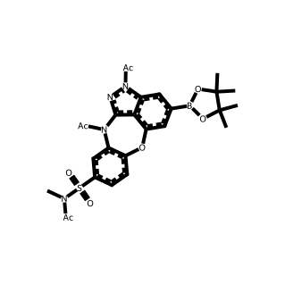 CC(=O)N1c2cc(S(=O)(=O)N(C)C(C)=O)ccc2Oc2cc(B3OC(C)(C)C(C)(C)O3)cc3c2c1nn3C(C)=O